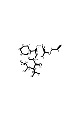 C=CCOC(=O)C[C@@H](C(=O)N1CCCCC1)N(C)C(=O)C(C(C)C)N(C)C=O